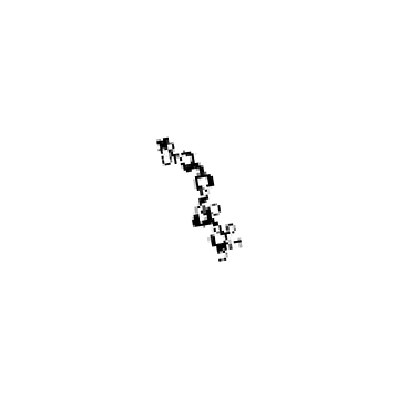 CC(C)(C)OC(=O)N1CCC(CC2CCN(CCn3cccc(CN4CCC(=O)NC4=O)c3=O)CC2)CC1